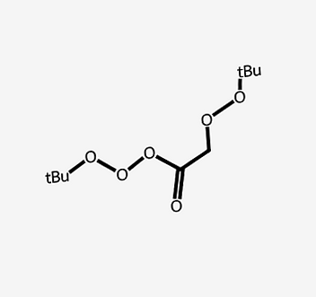 CC(C)(C)OOCC(=O)OOOC(C)(C)C